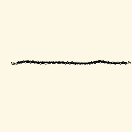 CCCOCCOCCOCCOCCOCCOCCOCCOCCOCCOCCOCCOCCOCCOCCOCCOCCOCCOCCOCCOCCOCCOCCOCCOCCOCCOCCOCCOCCOCCOCCOCCOCCOCCOCCOCCOCCOCCOCCOCCOCCOCCOCCOCCOCCOC